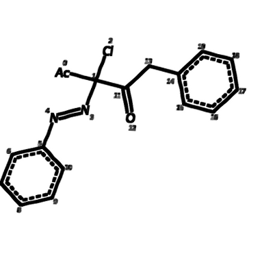 CC(=O)C(Cl)(N=Nc1ccccc1)C(=O)Cc1ccccc1